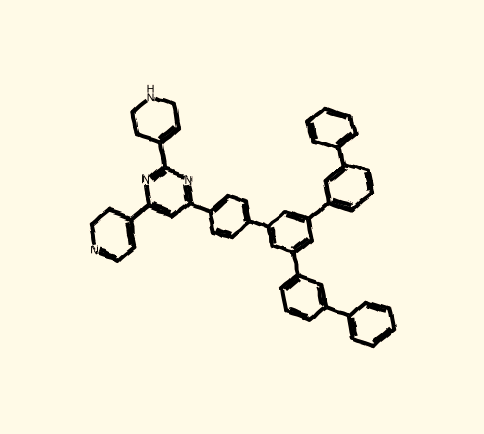 C1=NCCC(c2cc(-c3ccc(-c4cc(-c5cccc(-c6ccccc6)c5)cc(-c5cccc(-c6ccccc6)c5)c4)cc3)nc(C3=CCNCC3)n2)=C1